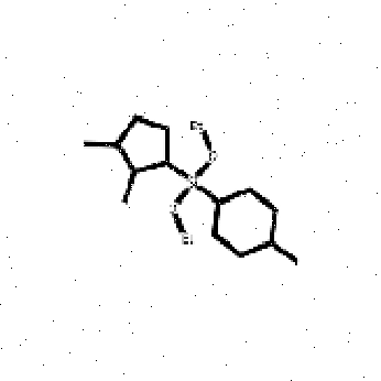 CCO[Si](OCC)(C1CCC(C)CC1)C1CCC(C)C1C